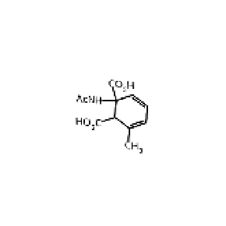 CC(=O)NC1(C(=O)O)C=CC=C(C)C1C(=O)O